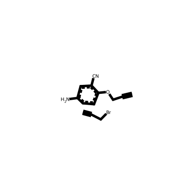 C#CCBr.C#CCOc1ccc(N)cc1C#N